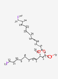 COC(CCC=CCCCCCCI)OC(CCC=CCCCCCCI)OC